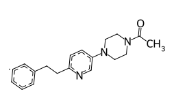 CC(=O)N1CCN(c2ccc(CCc3c[c]ccc3)nc2)CC1